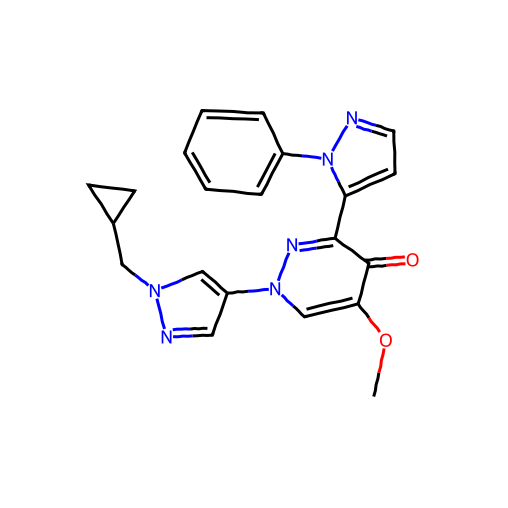 COc1cn(-c2cnn(CC3CC3)c2)nc(-c2ccnn2-c2ccccc2)c1=O